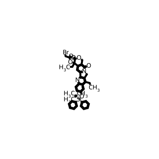 CCc1c2c(nc3ccc(O[Si](c4ccccc4)(c4ccccc4)C(C)(C)C)cc13)-c1cc3c(c(=O)n1C2)COC(=O)C3(CC)OC(=O)CBr